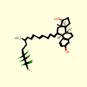 C[C@]12CC(CCCCCCCCC(CCC(F)(F)C(F)(F)C(F)(F)C(F)(F)F)C(=O)O)[C@@H]3c4ccc(O)cc4CC[C@H]3[C@@H]1CC[C@@H]2O